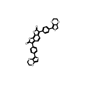 O=C1Oc2c3c(ccc2=C1c1ccc(C2=C4OCCOC4CS2)cc1)=C(c1ccc(-c2scc4c2OCCO4)cc1)C(=O)O3